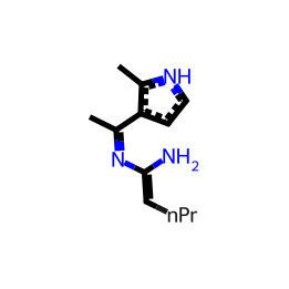 CCC/C=C(N)/N=C(/C)c1cc[nH]c1C